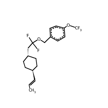 CC=C[C@H]1CC[C@H](CC(F)(F)OCc2ccc(OC(F)(F)F)cc2)CC1